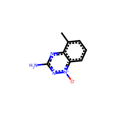 Cc1cccc2c1nc(N)n[n+]2[O-]